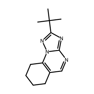 CC(C)(C)c1nc2ncc3c(n2n1)CCCC3